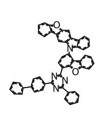 c1ccc(-c2ccc(-c3nc(-c4ccccc4)nc(-c4ccc(-n5c6ccccc6c6cc7oc8ccccc8c7cc65)c5c4oc4ccccc45)n3)cc2)cc1